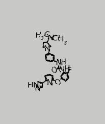 CN(C)C1CCN(c2cccc(NC(=O)Nc3cc(Oc4cccc(-c5cn[nH]c5)n4)ccc3F)c2)C1